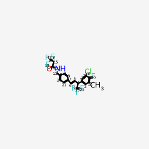 Cc1cc(C(/C=C/c2ccc(CNC(=O)CC(F)(F)F)cc2)C(F)(F)F)cc(Cl)c1F